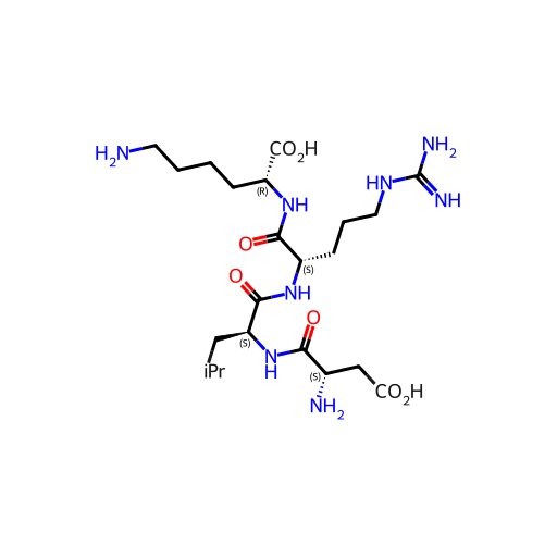 CC(C)C[C@H](NC(=O)[C@@H](N)CC(=O)O)C(=O)N[C@@H](CCCNC(=N)N)C(=O)N[C@H](CCCCN)C(=O)O